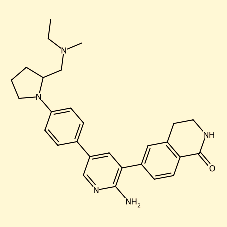 CCN(C)CC1CCCN1c1ccc(-c2cnc(N)c(-c3ccc4c(c3)CCNC4=O)c2)cc1